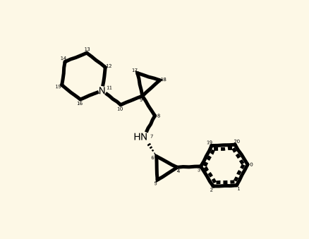 c1ccc(C2C[C@@H]2NCC2(CN3CCCCC3)CC2)cc1